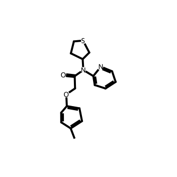 Cc1ccc(OCC(=O)N(c2ccccn2)C2CCSC2)cc1